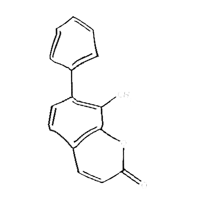 Cc1c(-c2ccccc2)ccc2ccc(=O)oc12